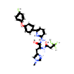 Cn1cnc(CC(NC(=O)CC(F)(F)F)C(=O)Nc2cccc(-c3ccc(Oc4ccc(F)cc4)cc3)n2)c1